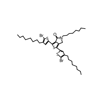 CCCCCCCCc1cc(-c2sc(-c3cc(CCCCCCCC)c(Br)s3)c3c2CN(CCCCCCCC)C3=O)sc1Br